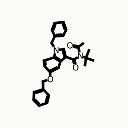 CC(=O)N(C(=O)c1cn(Cc2ccccc2)c2ccc(OCc3ccccc3)cc12)C(C)(C)C